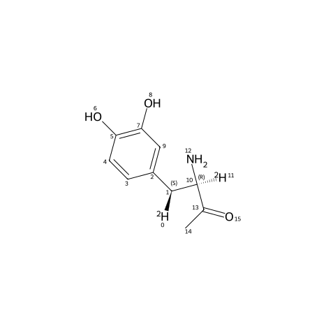 [2H][C@@H](c1ccc(O)c(O)c1)[C@@]([2H])(N)C(C)=O